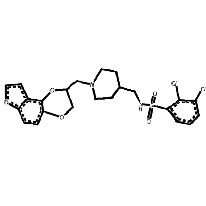 O=S(=O)(NCC1CCN(CC2COc3ccc4occc4c3O2)CC1)c1cccc(Cl)c1Cl